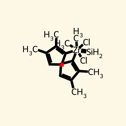 CC1=CC[C]([Zr]([CH3])([CH3])(=[SiH2])([Cl])([Cl])[C]2=C(C)C(C)=CC2)=C1C